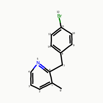 Cc1cccnc1[CH]c1ccc(Br)cc1